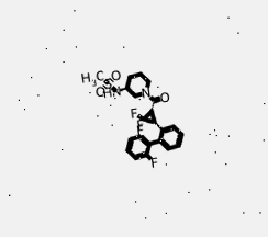 CS(=O)(=O)N[C@H]1CCCN(C(=O)[C@@H]2[C@@H](c3ccccc3-c3c(F)cccc3F)C2(F)F)C1